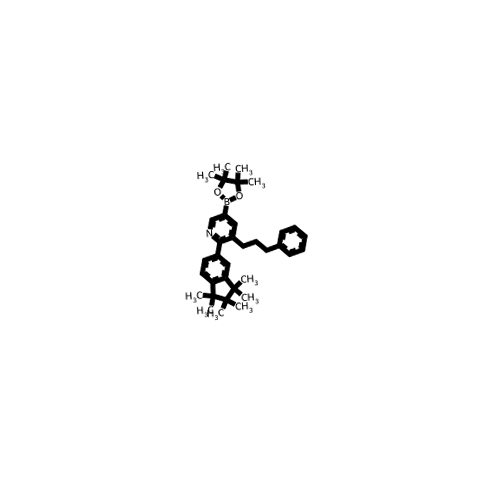 CC1(C)OB(c2cnc(-c3ccc4c(c3)C(C)(C)C(C)(C)C4(C)C)c(CCCc3ccccc3)c2)OC1(C)C